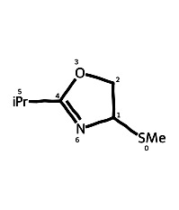 CSC1COC(C(C)C)=N1